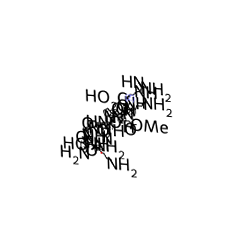 COC(=O)CC[C@H](NC(O)[C@@H]1CCCN1C(=O)[C@@H](CCCN)NC(=O)CNC(=O)[C@H](C)NC(=O)[C@@H](NC(=O)[C@@H](N)CCCCN)[C@@H](O)CN)C(=O)N[C@@H](CCCCN)C(=O)N/C(=C\CCNC(=N)N)C(=O)O